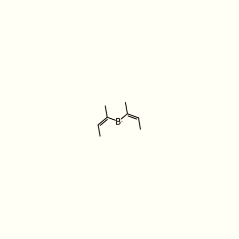 C/C=C(/C)[B]/C(C)=C\C